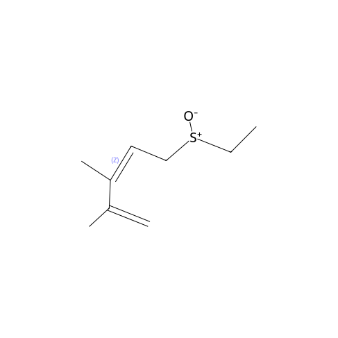 C=C(C)/C(C)=C\C[S+]([O-])CC